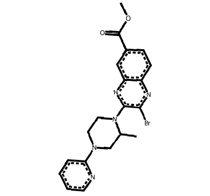 COC(=O)c1ccc2nc(Br)c(N3CCN(c4ccccn4)CC3C)nc2c1